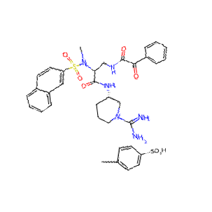 CN(C(CNC(=O)C(=O)c1ccccc1)C(=O)N[C@H]1CCCN(C(=N)N)C1)S(=O)(=O)c1ccc2ccccc2c1.Cc1ccc(S(=O)(=O)O)cc1